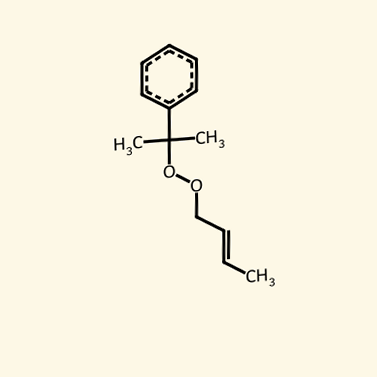 C/C=C/COOC(C)(C)c1ccccc1